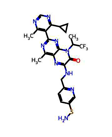 Cc1ncnc(C2CC2)c1-c1nc(C)c2nc(NCc3ccc(SN)cn3)c(=O)n(C(C)C(F)(F)F)c2n1